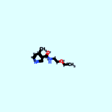 CCOCCNC(=O)c1cnccc1C